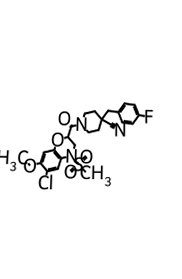 COc1cc2c(cc1Cl)N(S(C)(=O)=O)CC(C(=O)N1CCC(C#N)(Cc3ccc(F)cc3)CC1)O2